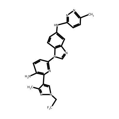 Cc1ccc(Nc2ccc3c(c2)ncn3-c2ccc(N)c(-c3cn(CC(F)(F)F)nc3C)n2)nn1